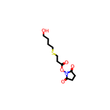 O=C(CCSCCCCO)ON1C(=O)CCC1=O